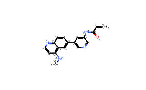 C=CC(=O)Nc1cncc(-c2ccc3nccc(NC)c3c2)c1